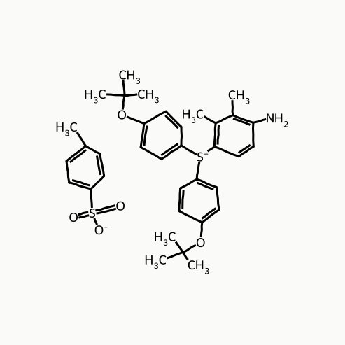 Cc1c(N)ccc([S+](c2ccc(OC(C)(C)C)cc2)c2ccc(OC(C)(C)C)cc2)c1C.Cc1ccc(S(=O)(=O)[O-])cc1